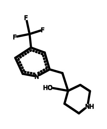 OC1(Cc2cc(C(F)(F)F)ccn2)CCNCC1